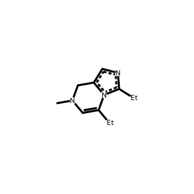 CCC1=CN(C)Cc2cnc(CC)n21